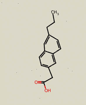 CCCc1ccc2cc(CC(=O)O)ccc2c1